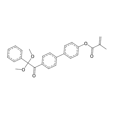 C=C(C)C(=O)Oc1ccc(-c2ccc(C(=O)C(OC)(OC)c3ccccc3)cc2)cc1